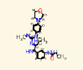 C=CC(=O)Nc1cccc(C(=N)/C(CC)=N/C(=N\C)Nc2ccc(N3CCOCC3)cc2)c1